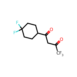 O=C(CC(=O)C(F)(F)F)C1CCC(F)(F)CC1